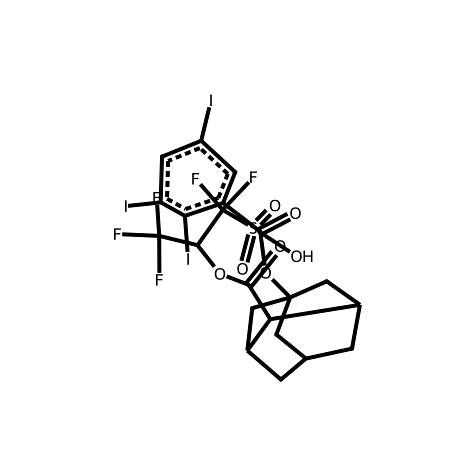 O=C(OC12CC3CC(C1)C(C(=O)OC(C(F)(F)F)C(F)(F)S(=O)(=O)O)C(C3)C2)c1cc(I)cc(I)c1I